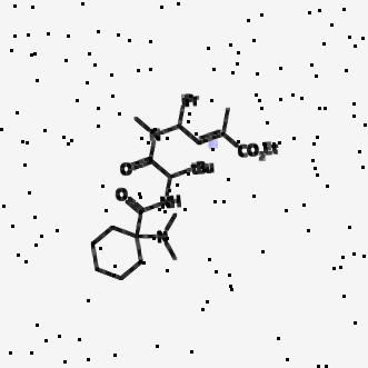 CCOC(=O)/C(C)=C/C(C(C)C)N(C)C(=O)C(NC(=O)C1(N(C)C)CCCCC1)C(C)(C)C